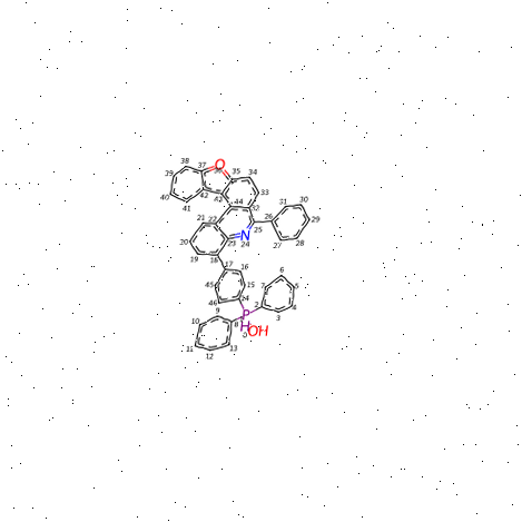 O[PH](c1ccccc1)(c1ccccc1)c1ccc(-c2cccc3c2nc(-c2ccccc2)c2ccc4oc5ccccc5c4c23)cc1